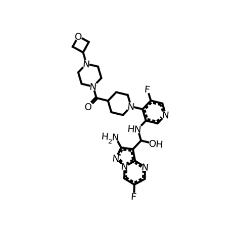 Nc1nn2cc(F)cnc2c1C(O)Nc1cncc(F)c1N1CCC(C(=O)N2CCN(C3COC3)CC2)CC1